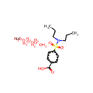 CCCN(CCC)S(=O)(=O)c1ccc(C(=O)O)cc1.O.O.O.O.O.O.[Lu]